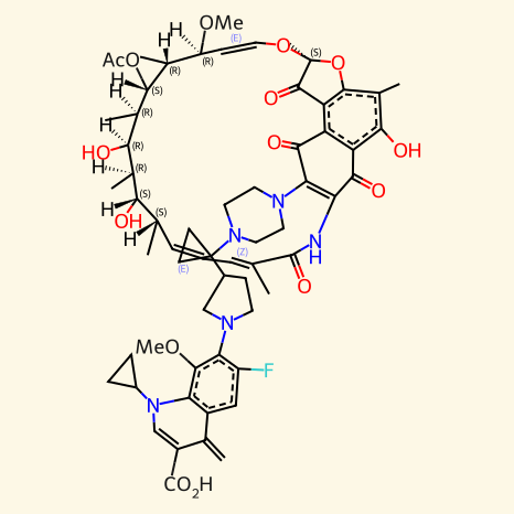 C=C1C(C(=O)O)=CN(C2CC2)c2c1cc(F)c(N1CCC(C3(N4CCN(C5=C6NC(=O)/C(C)=C\C=C\[C@H](C)[C@H](O)[C@@H](C)[C@@H](O)[C@@H](C)[C@H](OC(C)=O)[C@H](C)[C@@H](OC)/C=C/O[C@@]7(C)Oc8c(C)c(O)c(c(c8C7=O)C5=O)C6=O)CC4)CC3)C1)c2OC